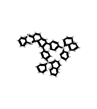 c1ccc(N(c2ccc(-c3cc4ccc5nc6ccccc6nc5c4cc3-c3ccc(N(c4ccccc4)c4cccc5ccccc45)cc3)cc2)c2cccc3ccccc23)cc1